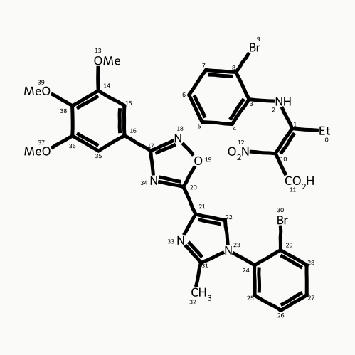 CCC(Nc1ccccc1Br)=C(C(=O)O)[N+](=O)[O-].COc1cc(-c2noc(-c3cn(-c4ccccc4Br)c(C)n3)n2)cc(OC)c1OC